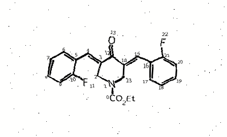 CCOC(=O)N1C/C(=C\c2ccccc2F)C(=O)/C(=C/c2ccccc2F)C1